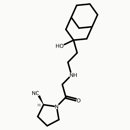 N#C[C@@H]1CCCN1C(=O)CNCCC1(O)CC2CCCC(C2)C1